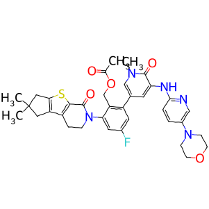 CC(=O)OCc1c(-c2cc(Nc3ccc(N4CCOCC4)cn3)c(=O)n(C)c2)cc(F)cc1N1CCc2c(sc3c2CC(C)(C)C3)C1=O